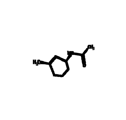 CC(=O)N[C@H]1CCC[C@@H](C)C1